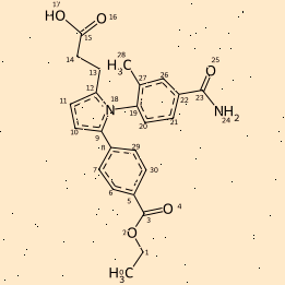 CCOC(=O)c1ccc(-c2ccc(CCC(=O)O)n2-c2ccc(C(N)=O)cc2C)cc1